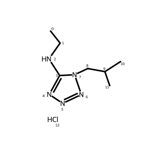 CCNc1nnnn1CC(C)C.Cl